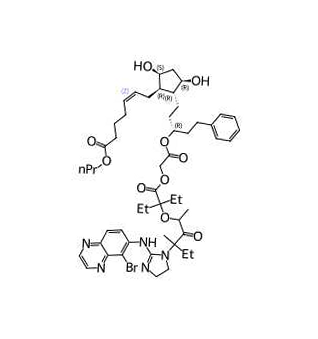 CCCOC(=O)CCC/C=C\C[C@@H]1[C@@H](CC[C@H](CCc2ccccc2)OC(=O)COC(=O)C(CC)(CC)OC(C)C(=O)C(C)(CC)N2CCN=C2Nc2ccc3nccnc3c2Br)[C@H](O)C[C@@H]1O